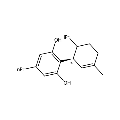 CCCc1cc(O)c([C@@H]2C=C(C)CCC2C(C)C)c(O)c1